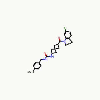 COc1ccc(CNC(=O)NC2CC3(C2)CC(C(=O)N2CCCc4ccc(F)cc42)C3)cc1